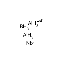 B.[AlH3].[AlH3].[La].[Nb]